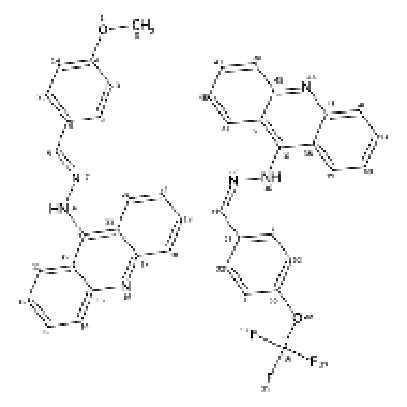 COc1ccc(/C=N/Nc2c3ccccc3nc3ccccc23)cc1.FC(F)(F)Oc1ccc(/C=N\Nc2c3ccccc3nc3ccccc23)cc1